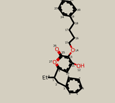 CCC(Cc1ccccc1)c1cc(O)c(OCCCCc2ccccc2)c(=O)o1